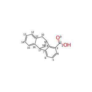 O=C(O)c1cccc2c1C1Cc3ccccc3C2C1